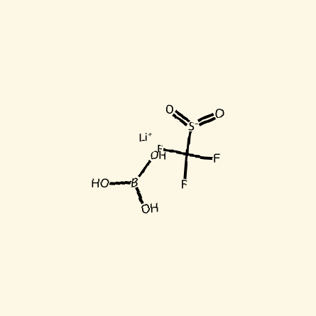 O=[S-](=O)C(F)(F)F.OB(O)O.[Li+]